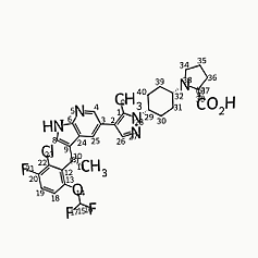 Cc1c(-c2cnc3[nH]cc([C@H](C)c4c(OC(F)F)ccc(F)c4Cl)c3c2)cnn1[C@H]1CC[C@@H](N2CCC[C@H]2C(=O)O)CC1